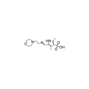 Cc1[nH]c(/C=N/CCN2CCOCC2)c(C)c1S(=O)(=O)O